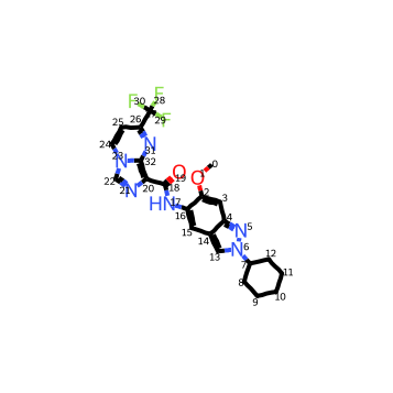 COc1cc2nn(C3CCCCC3)cc2cc1NC(=O)c1ncn2ccc(C(F)(F)F)nc12